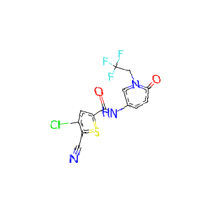 N#Cc1sc(C(=O)Nc2ccc(=O)n(CC(F)(F)F)c2)cc1Cl